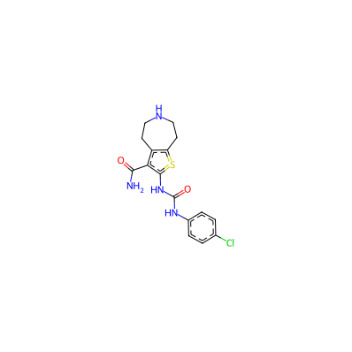 NC(=O)c1c(NC(=O)Nc2ccc(Cl)cc2)sc2c1CCNCC2